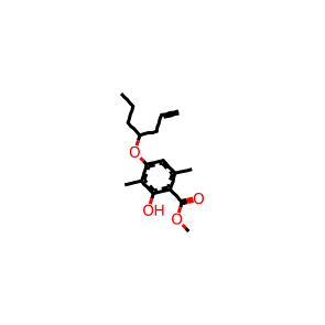 C=CCC(CCC)Oc1cc(C)c(C(=O)OC)c(O)c1C